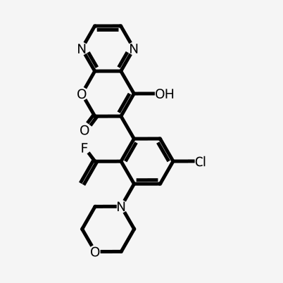 C=C(F)c1c(-c2c(O)c3nccnc3oc2=O)cc(Cl)cc1N1CCOCC1